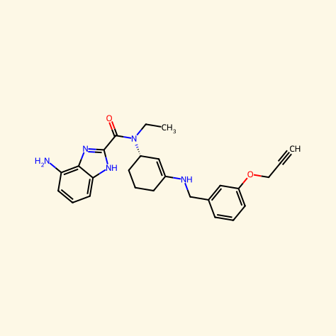 C#CCOc1cccc(CNC2=C[C@@H](N(CC)C(=O)c3nc4c(N)cccc4[nH]3)CCC2)c1